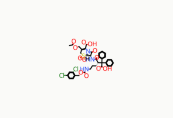 CC(=O)OCC1=C(C(=O)O)N2C(=O)[C@H](NC(=O)[C@@H](CCCNC(=O)OCc3ccc(Cl)cc3Cl)C(C(=O)O)(c3ccccc3)c3ccccc3)[C@@H]2S(=O)(=O)C1